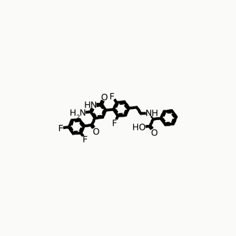 Nc1[nH]c(=O)c(-c2c(F)cc(CCN[C@H](C(=O)O)c3ccccc3)cc2F)cc1C(=O)c1ccc(F)cc1F